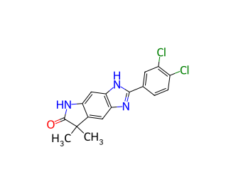 CC1(C)C(=O)Nc2cc3[nH]c(-c4ccc(Cl)c(Cl)c4)nc3cc21